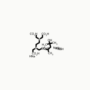 CC(O)CC(C)(C)O.O=C(O)CN(CCN(CC(=O)O)CC(=O)O)CC(=O)O.[NaH].[NaH].[NaH].[NaH]